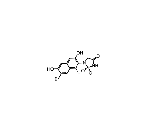 O=C1CN(c2c(O)cc3cc(O)c(Br)cc3c2F)S(=O)(=O)N1